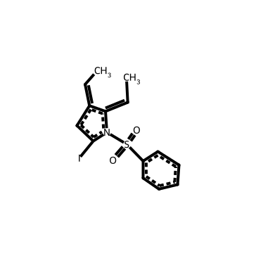 C/C=c1/cc(I)n(S(=O)(=O)c2ccccc2)/c1=C/C